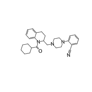 N#Cc1ccccc1N1CCN(CC2CCc3ccccc3N2C(=O)C2CCCCC2)CC1